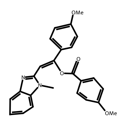 COc1ccc(C(=O)OC(=Cc2nc3ccccc3n2C)c2ccc(OC)cc2)cc1